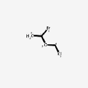 CC(Br)OCCl